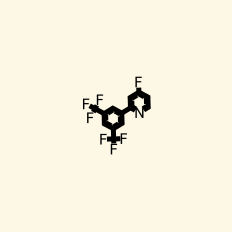 Fc1ccnc(-c2cc(C(F)(F)F)cc(C(F)(F)F)c2)c1